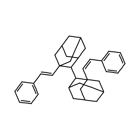 C(=CC12CC3CC(CC(C3)C1C1C3CC4CC(C3)CC1(C=Cc1ccccc1)C4)C2)c1ccccc1